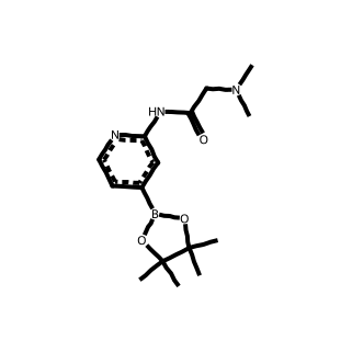 CN(C)CC(=O)Nc1cc(B2OC(C)(C)C(C)(C)O2)ccn1